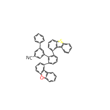 N#Cc1cc(-c2ccccc2)cc(-c2c(-c3cccc4oc5ccccc5c34)cccc2-c2cccc3sc4ccccc4c23)c1